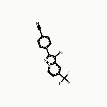 N#Cc1ccc(-c2nn3ccc(C(F)(F)F)cc3c2Br)cc1